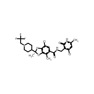 Cc1cc(Cl)c(CNC(=O)c2cc(Cl)c3c(c2C)O[C@@](C)(C2CCN(CC(F)(F)F)CC2)O3)c(=O)[nH]1